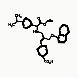 CCCCOC(=O)C(NC/C(=C/c1ccc(C(=O)O)cc1)COc1cccc2ccccc12)c1ccc(N(C)C)cc1